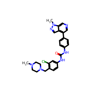 CN1CCN(Cc2ccc(NC(=O)Nc3ccc(-c4cncc5c4cnn5C)cc3)cc2Cl)CC1